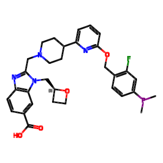 CP(C)c1ccc(COc2cccc(C3CCN(Cc4nc5ccc(C(=O)O)cc5n4C[C@@H]4CCO4)CC3)n2)c(F)c1